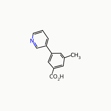 Cc1cc(C(=O)O)cc(-c2cccnc2)c1